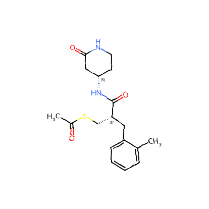 CC(=O)SC[C@@H](Cc1ccccc1C)C(=O)N[C@H]1CCNC(=O)C1